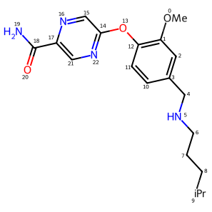 COc1cc(CNCCCC(C)C)ccc1Oc1cnc(C(N)=O)cn1